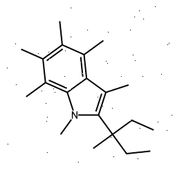 CCC(C)(CC)c1c(C)c2c(C)c(C)c(C)c(C)c2n1C